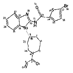 C=CC(=O)N1CCC[C@@H](n2c(NC(=O)c3ccc(Br)s3)nc3ccccc32)CC1